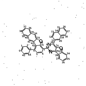 c1ccc(-c2ccc(-c3nc(-c4ccc5ccccc5c4)c4oc5ccccc5c4n3)c3oc4cc5ccccc5cc4c23)cc1